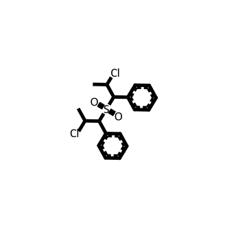 CC(Cl)C(c1ccccc1)S(=O)(=O)C(c1ccccc1)C(C)Cl